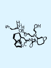 CC(C)C[C@H](N)OBOCCN(CCO)C1COCCN1C(=O)N[C@@H](Cc1cccc2ccccc12)C(=O)O